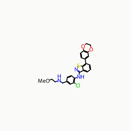 COCCNCc1ccc(Nc2nsc3c(-c4ccc5c(c4)OCCO5)cccc23)c(Cl)c1